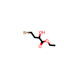 CCOC(=O)C(O)CCBr